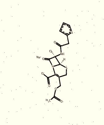 CC(=O)OCC1=C(C(=O)[O-])N2C(=O)[C@@](Cl)(NC(=O)Cc3cccs3)[C@H]2SC1.[Na+]